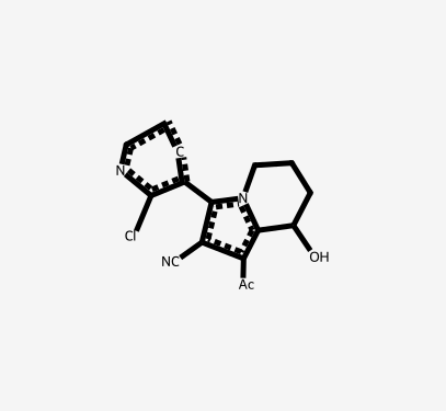 CC(=O)c1c(C#N)c(-c2cccnc2Cl)n2c1C(O)CCC2